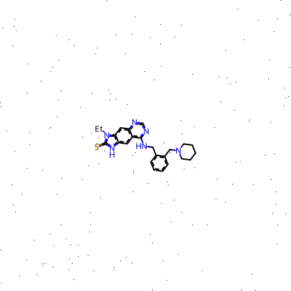 CCn1c(=S)[nH]c2cc3c(NCc4ccccc4CN4CCCCC4)ncnc3cc21